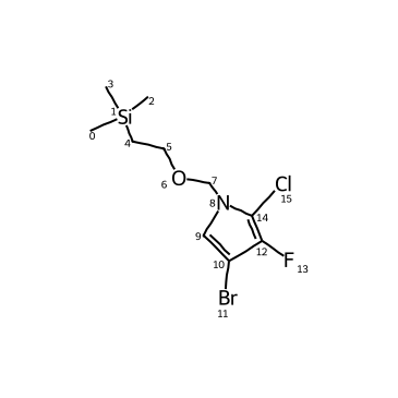 C[Si](C)(C)CCOCn1cc(Br)c(F)c1Cl